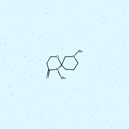 CC(C)(C)N1CCCC2(C1)OCCC(=O)N2C(C)(C)C